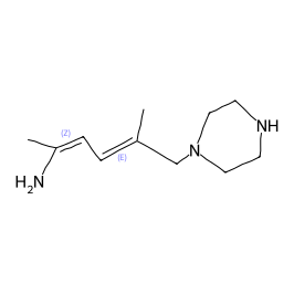 C/C(N)=C/C=C(\C)CN1CCNCC1